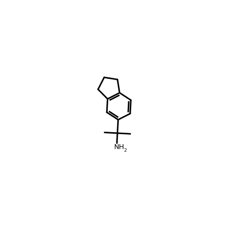 CC(C)(N)c1ccc2c(c1)CCC2